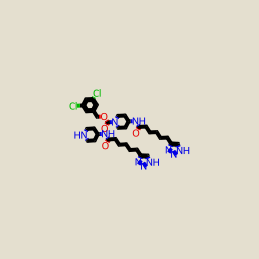 O=C(CCCCCc1c[nH]nn1)NC1CCN(C(=O)OCc2cc(Cl)cc(Cl)c2)CC1.O=C(CCCCCc1c[nH]nn1)NC1CCNCC1